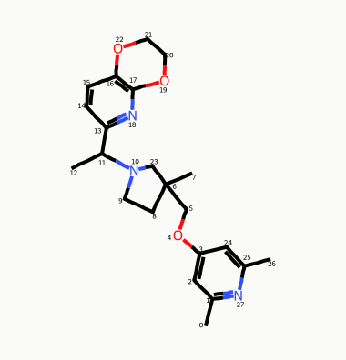 Cc1cc(OCC2(C)CCN(C(C)c3ccc4c(n3)OCCO4)C2)cc(C)n1